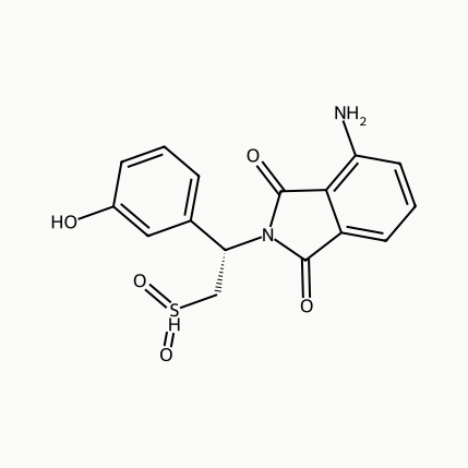 Nc1cccc2c1C(=O)N([C@H](C[SH](=O)=O)c1cccc(O)c1)C2=O